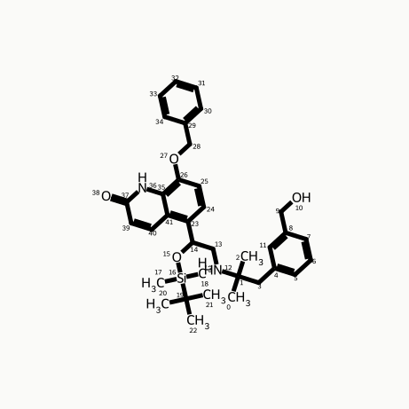 CC(C)(Cc1cccc(CO)c1)NCC(O[Si](C)(C)C(C)(C)C)c1ccc(OCc2ccccc2)c2[nH]c(=O)ccc12